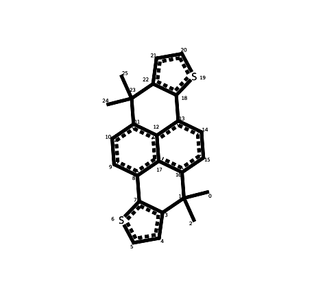 CC1(C)c2ccsc2-c2ccc3c4c(ccc1c24)-c1sccc1C3(C)C